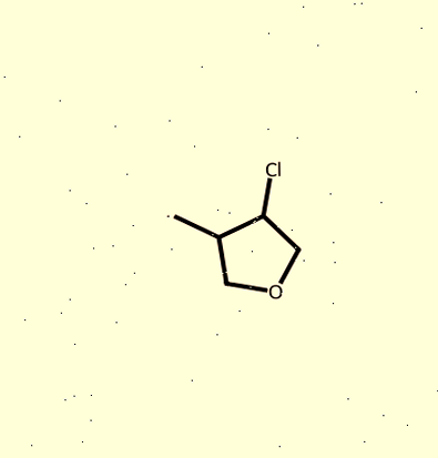 [CH2]C1COCC1Cl